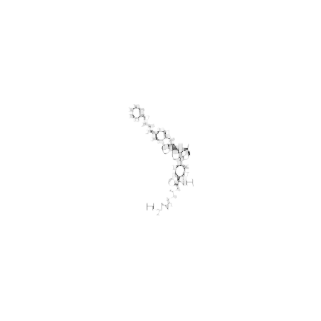 NCCCCCC(=O)Nc1ccc(C(=O)ONC(=O)Cc2ccc(CCCCc3ccccc3)cc2)cc1